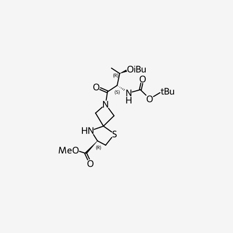 COC(=O)[C@@H]1CSC2(CN(C(=O)[C@@H](NC(=O)OC(C)(C)C)[C@@H](C)OCC(C)C)C2)N1